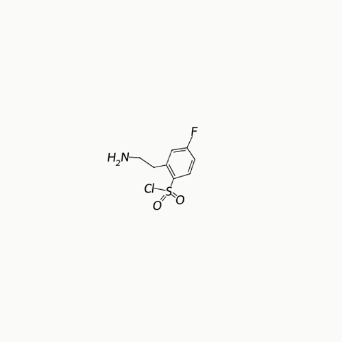 NCCc1cc(F)ccc1S(=O)(=O)Cl